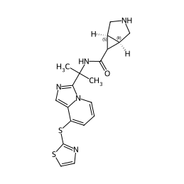 CC(C)(NC(=O)C1[C@H]2CNC[C@@H]12)c1ncc2c(Sc3nccs3)cccn12